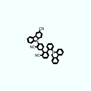 N#CC1=CC2c3ccccc3N(C3=C(C#N)CC(c4c(C#N)cccc4-c4ccccc4N4Cc5ccccc5-c5ccccc54)C=C3)C2C=C1